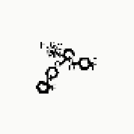 CS(=O)(=O)NC1CCCN(C(=O)C2CCC(F)(F)CC2)C1COC1CCN(c2ccccc2F)CC1